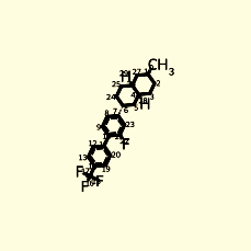 CC1CC[C@@H]2C[C@H](c3ccc(-c4ccc(C(F)(F)F)cc4)c(F)c3)CC[C@@H]2C1